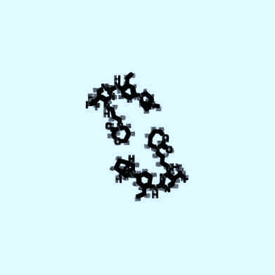 CCc1cc(N2CC3CC2CN3C)ccc1Nc1ncc(C(F)(F)F)c(NCCCN2CCCOCC2=O)n1.CCc1cc(N2C[C@H]3CC[C@@H](C2)N3C)ccc1Nc1ncc(C(F)F)c(NCCCN2CCCCOC2=O)n1